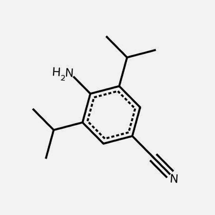 CC(C)c1cc(C#N)cc(C(C)C)c1N